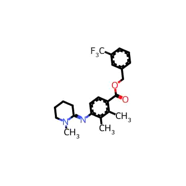 Cc1c(/N=C2\CCCCN2C)ccc(C(=O)OCc2cccc(C(F)(F)F)c2)c1C